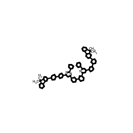 CC1(C)c2ccccc2-c2cc(-c3ccc(-c4ccc(-c5cc(-c6cccc(-c7cccc(-c8cc(-c9cccc(-c%10cccc(-c%11ccc%12c(c%11)C(C)(C)c%11ccccc%11-%12)c%10)c9)cc(-c9ccccc9)n8)c7)c6)nc(-c6ccccc6)n5)cc4)cc3)ccc21